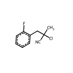 CC(Cl)(C#N)Cc1ccccc1F